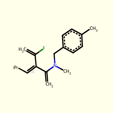 C=C(F)/C(=C\C(C)C)C(=C)N(C)Cc1ccc(C)cc1